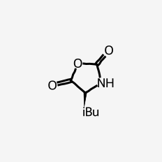 CC[C@H](C)C1NC(=O)OC1=O